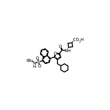 CC(C)(C)NS(=O)(=O)c1ccc(-c2oc(C(=O)N[C@H]3C[C@H](C(=O)O)C3)cc2CC2CCCCC2)c2ccccc12